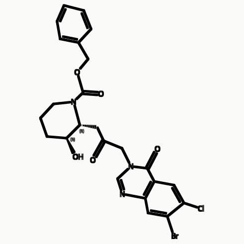 O=C(C[C@@H]1[C@@H](O)CCCN1C(=O)OCc1ccccc1)Cn1cnc2cc(Br)c(Cl)cc2c1=O